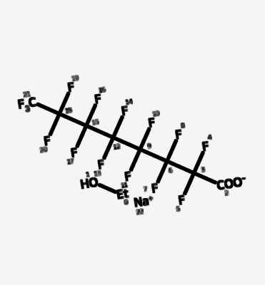 CCO.O=C([O-])C(F)(F)C(F)(F)C(F)(F)C(F)(F)C(F)(F)C(F)(F)C(F)(F)F.[Na+]